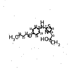 C=C(O)Cc1csc(Nc2ccc(OCCCC)cc2)n1